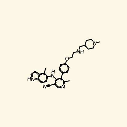 Cc1ncc(C#N)c(Nc2ccc3[nH]ccc3c2C)c1-c1ccc(OCCNCC2CCN(C)CC2)cc1